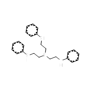 c1ccc(PCCP(CCPc2ccccc2)CCPc2ccccc2)cc1